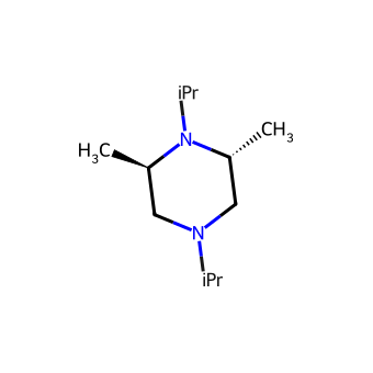 CC(C)N1C[C@@H](C)N(C(C)C)[C@H](C)C1